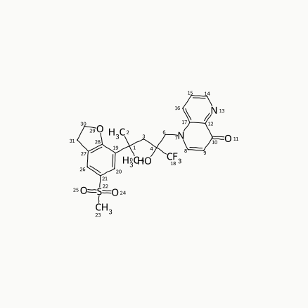 CC(C)(CC(O)(Cn1ccc(=O)c2ncccc21)C(F)(F)F)c1cc(S(C)(=O)=O)cc2c1OCC2